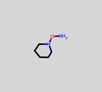 NON1CCCCC1